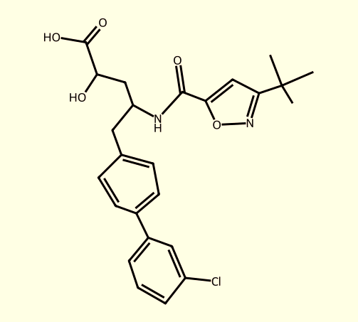 CC(C)(C)c1cc(C(=O)NC(Cc2ccc(-c3cccc(Cl)c3)cc2)CC(O)C(=O)O)on1